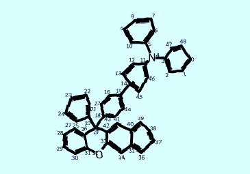 c1ccc(N(c2ccccc2)c2ccc(-c3ccc(C4(c5ccccc5)c5ccccc5Oc5cc6ccccc6cc54)cc3)cc2)cc1